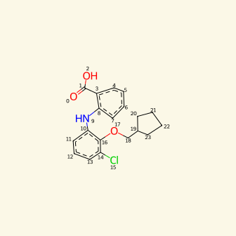 O=C(O)c1ccccc1Nc1cccc(Cl)c1OCC1CCCC1